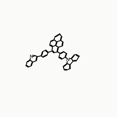 c1ccc2ncc(-c3ccc(-c4cc(-c5ccc(-n6c7ccccc7c7ccccc76)cc5)c5ccc6cccc7ccc4c5c76)cc3)cc2c1